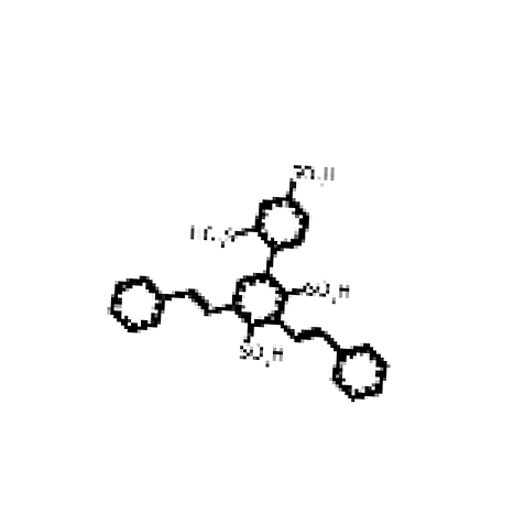 O=S(=O)(O)c1ccc(-c2cc(C=Cc3ccccc3)c(S(=O)(=O)O)c(C=Cc3ccccc3)c2S(=O)(=O)O)c(S(=O)(=O)O)c1